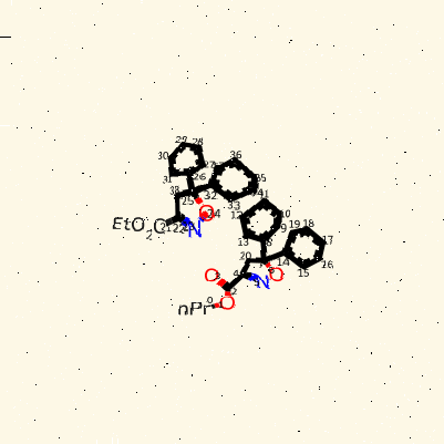 CCCOC(=O)C1=NOC(c2ccccc2)(c2ccccc2)C1.CCOC(=O)C1=NOC(c2ccccc2)(c2ccccc2)C1